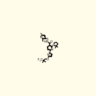 Cc1nn(C)cc1SNC(=O)c1ccc(-n2ccc(OCC(C)(C)C(F)(F)F)n2)nc1N1CCCC1(C)C